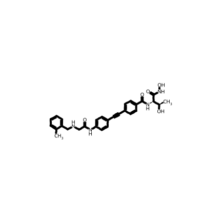 Cc1ccccc1CNCC(=O)Nc1ccc(C#Cc2ccc(C(=O)N[C@H](C(=O)NO)[C@@H](C)O)cc2)cc1